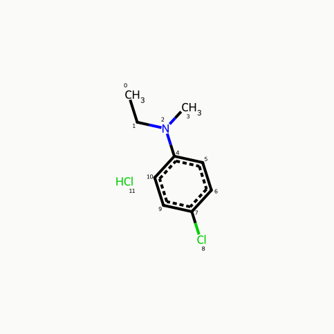 CCN(C)c1ccc(Cl)cc1.Cl